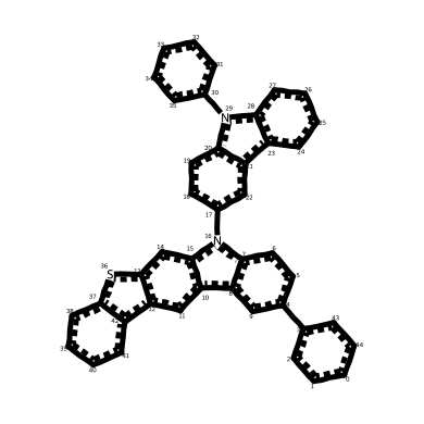 c1ccc(-c2ccc3c(c2)c2cc4c(cc2n3-c2ccc3c(c2)c2ccccc2n3-c2ccccc2)sc2ccccc24)cc1